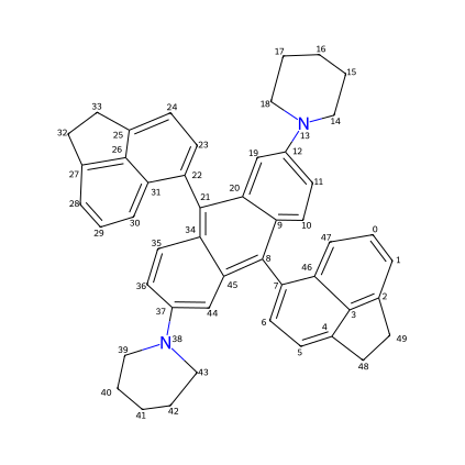 c1cc2c3c(ccc(-c4c5ccc(N6CCCCC6)cc5c(-c5ccc6c7c(cccc57)CC6)c5ccc(N6CCCCC6)cc45)c3c1)CC2